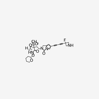 CC(CCN1Cc2cc(C#CC#CC3(F)CNC3)cn2C1=O)(C(=O)NOC1CCCCO1)S(C)(=O)=O